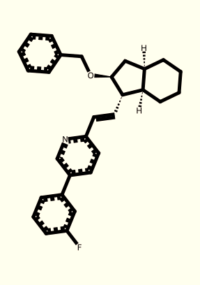 Fc1cccc(-c2ccc(C=C[C@H]3[C@@H]4CCCC[C@@H]4C[C@@H]3OCc3ccccc3)nc2)c1